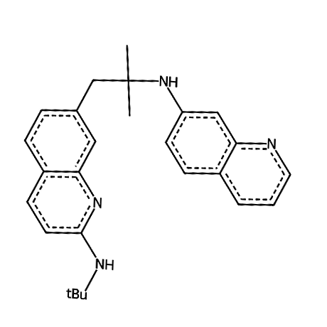 CC(C)(C)Nc1ccc2ccc(CC(C)(C)Nc3ccc4cccnc4c3)cc2n1